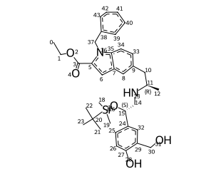 CCOC(=O)c1cc2cc(C[C@@H](C)NC[C@@H](O[Si](C)(C)C(C)(C)C)c3ccc(O)c(CO)c3)ccc2n1Cc1ccccc1